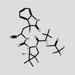 CC(C)(C)[C@H](NC(=O)C(F)(F)F)C(=O)N1C[C@H]2[C@H]([C@H]1C(=O)NC(C#N)CC1(F)C(=O)Nc3ccccc31)C2(C)C